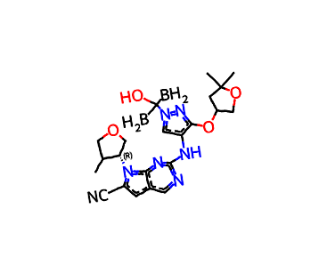 BC(B)(O)n1cc(Nc2ncc3cc(C#N)n([C@H]4COCC4C)c3n2)c(OC2COC(C)(C)C2)n1